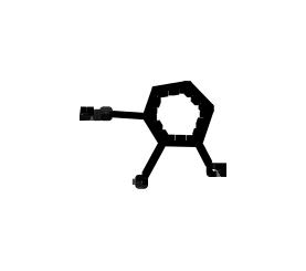 COc1cccc(C#N)c1[O]